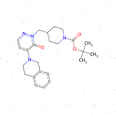 CC(C)(C)OC(=O)N1CCC(Cn2nccc(N3CCc4ccccc4C3)c2=O)CC1